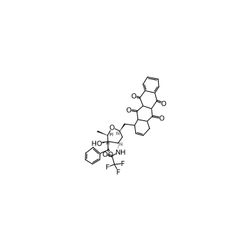 C[C@H]1O[C@@H](CC2C=CCC3C(=O)C4C(=O)c5ccccc5C(=O)C4C(=O)C23)C[C@H](NC(=O)C(F)(F)F)[C@]1(O)C(=O)c1ccccc1